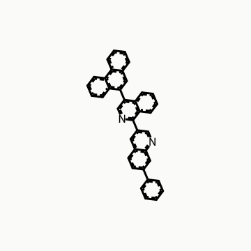 c1ccc(-c2ccc3cc(-c4ncc(-c5cc6ccccc6c6ccccc56)c5ccccc45)cnc3c2)cc1